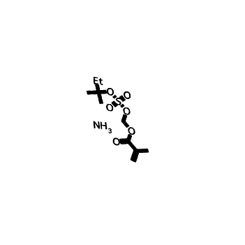 C=C(C)C(=O)OCOS(=O)(=O)OC(C)(C)CC.N